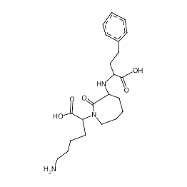 NCCCCC(C(=O)O)N1CCCCC(NC(CCc2ccccc2)C(=O)O)C1=O